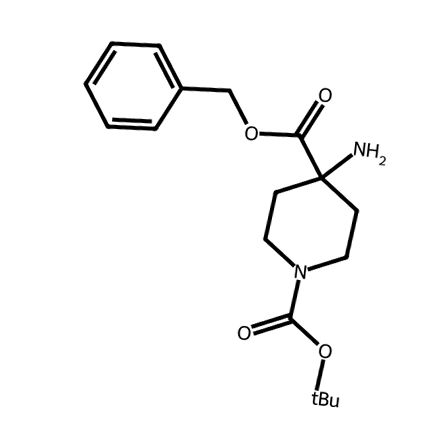 CC(C)(C)OC(=O)N1CCC(N)(C(=O)OCc2ccccc2)CC1